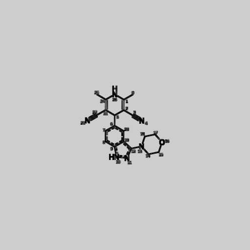 CC1=C(C#N)C(c2ccc3[nH]nc(N4CCOCC4)c3c2)C(C#N)=C(C)N1